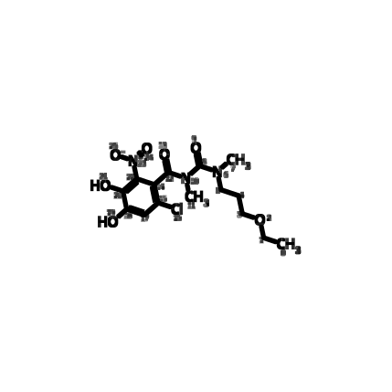 CCOCCCN(C)C(=O)N(C)C(=O)c1c(Cl)cc(O)c(O)c1[N+](=O)[O-]